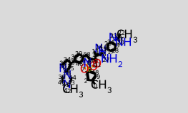 Cc1ccc(S(=O)(=O)n2c(C(=O)c3cnn(-c4ccc5[nH]c(C)nc5c4)c3N)cc3ccc(-c4ccnc(N5CCN(C)CC5)c4)cc32)cc1